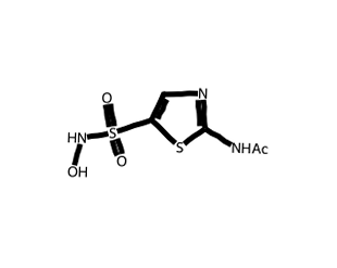 CC(=O)Nc1ncc(S(=O)(=O)NO)s1